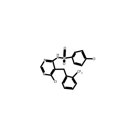 O=S(=O)(Nc1ncnc(Cl)c1Cc1ccccc1C(F)(F)F)c1ccc(Cl)cc1